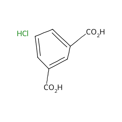 Cl.O=C(O)c1cccc(C(=O)O)c1